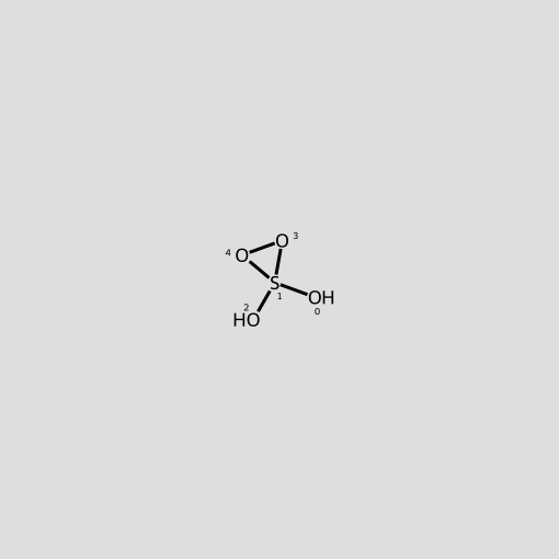 OS1(O)OO1